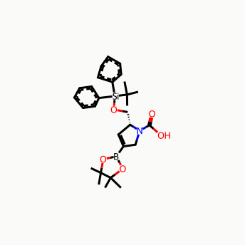 CC1(C)OB(C2=C[C@H](CO[Si](c3ccccc3)(c3ccccc3)C(C)(C)C)N(C(=O)O)C2)OC1(C)C